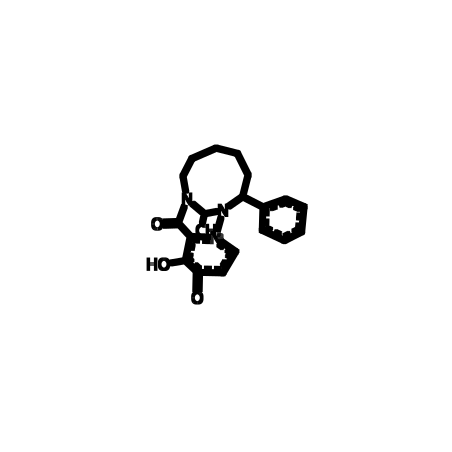 CC1N2CCCCCC(c3ccccc3)N1n1ccc(=O)c(O)c1C2=O